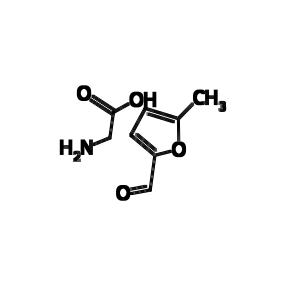 Cc1ccc(C=O)o1.NCC(=O)O